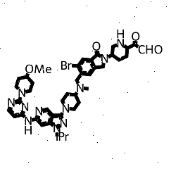 COC1CCN(c2nccc(Nc3cc4c(cn3)c(N3CCC(N(C)Cc5cc6c(cc5Br)C(=O)N(C5CCC(C(=O)C=O)NC5)C6)CC3)nn4C(C)C)n2)CC1